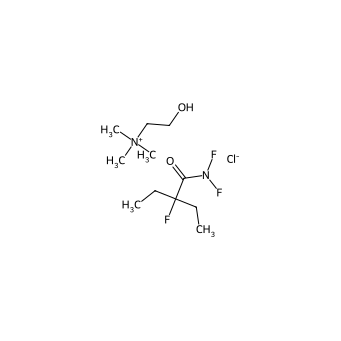 CCC(F)(CC)C(=O)N(F)F.C[N+](C)(C)CCO.[Cl-]